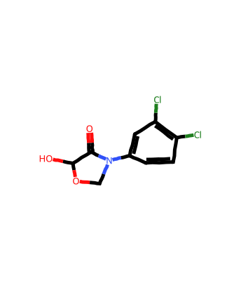 O=C1C(O)OCN1c1ccc(Cl)c(Cl)c1